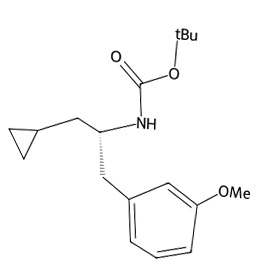 COc1cccc(C[C@H](CC2CC2)NC(=O)OC(C)(C)C)c1